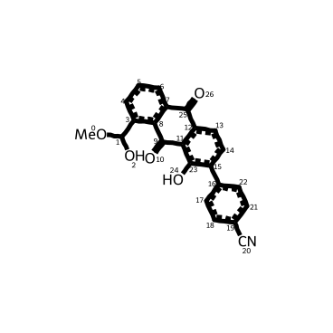 COC(O)c1cccc2c1C(=O)c1c(ccc(-c3ccc(C#N)cc3)c1O)C2=O